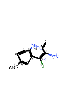 C=C/C(N)=C(/Cl)c1cc(OC)ccc1N